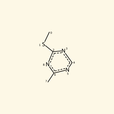 CSc1ncnc(C)n1